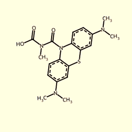 CN(C(=O)O)C(=O)N1c2ccc(N(C)C)cc2Sc2cc(N(C)C)ccc21